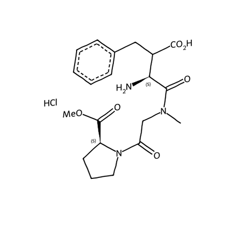 COC(=O)[C@@H]1CCCN1C(=O)CN(C)C(=O)[C@@H](N)C(Cc1ccccc1)C(=O)O.Cl